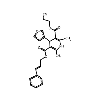 CC1=C(C(=O)OCC=Cc2ccccc2)C(c2ccoc2)C(C(=O)OCCC#N)=C(C)N1